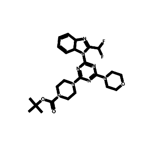 CC(C)(C)OC(=O)N1CCN(c2nc(N3CCOCC3)nc(N3C(C(F)F)=NC4C=CC=CC43)n2)CC1